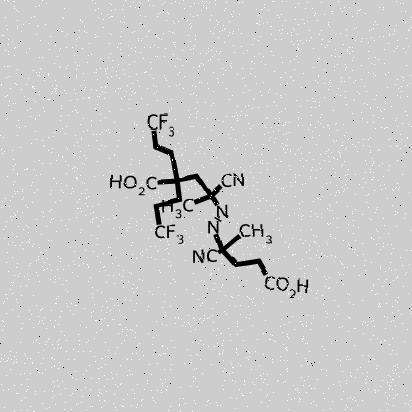 CC(C#N)(CCC(=O)O)N=NC(C)(C#N)CC(CCC(F)(F)F)(CCC(F)(F)F)C(=O)O